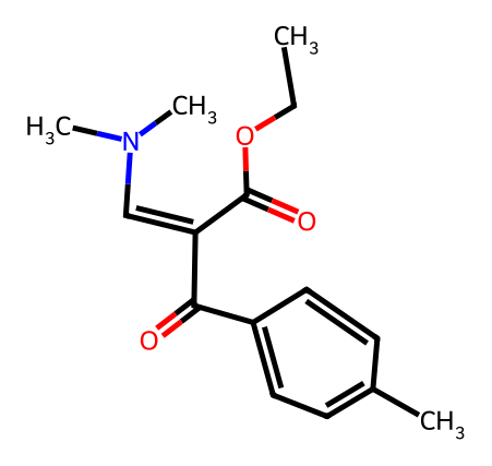 CCOC(=O)C(=CN(C)C)C(=O)c1ccc(C)cc1